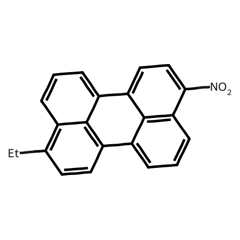 CCc1ccc2c3cccc4c([N+](=O)[O-])ccc(c5cccc1c25)c43